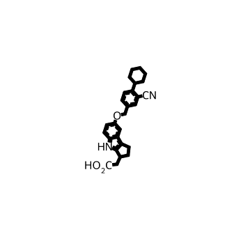 N#Cc1cc(COc2ccc3[nH]c4c(c3c2)CCC4CC(=O)O)ccc1C1CCCCC1